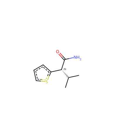 CC(C)[C@@H](C(N)=O)c1cccs1